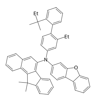 CCc1cc(N(c2ccc3c(c2)oc2ccccc23)c2cc3ccccc3c3c2-c2ccccc2C3(C)C)ccc1-c1ccccc1C(C)(C)CC